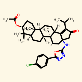 CC(=O)O[C@H]1CC[C@]2(C)[C@H]3CC[C@@H]4C5=C(C(C)C)C(=O)C[C@]5(Nc5nnc(-c6ccc(Cl)cc6)o5)CC[C@@]4(C)[C@]3(C)CC[C@H]2C1(C)C